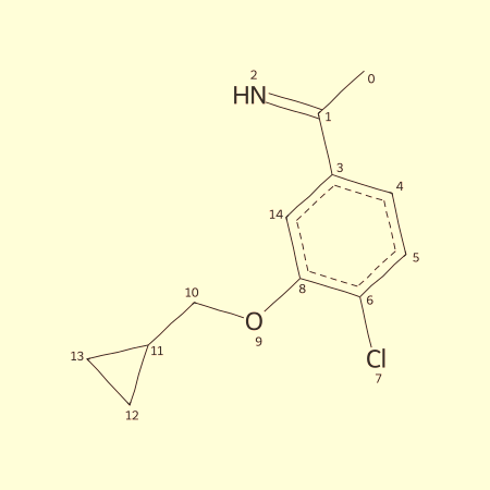 CC(=N)c1ccc(Cl)c(OCC2CC2)c1